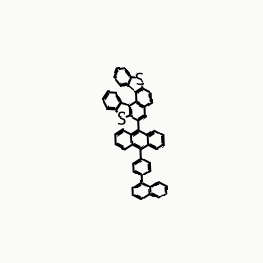 c1ccc2c(-c3ccc(-c4c5ccccc5c(-c5cc6ccc7sc8ccccc8c7c6c6c5sc5ccccc56)c5ccccc45)cc3)cccc2c1